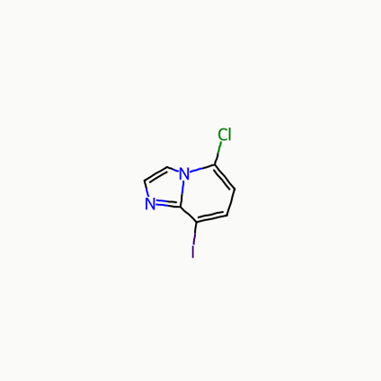 Clc1ccc(I)c2nccn12